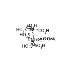 CC[N+]1=C(/C=C/C=C/C=C/C=C2/N(CCCCCC(=O)O)c3ccc4c(S(=O)(=O)O)cc(S(=O)(=O)O)cc4c3C2(C)CCCS(=O)(=O)O)C(C)(CCOCCOCCOCCOC)c2c1ccc1c(S(=O)(=O)O)cc(S(=O)(=O)O)cc21